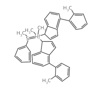 Cc1ccccc1-c1cccc2c1C=C[CH]2[Hf]([CH3])([CH3])([CH]1C=Cc2c(-c3ccccc3C)cccc21)=[Si](C)c1ccccc1